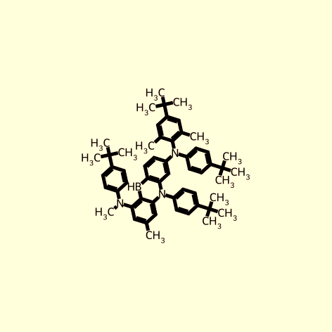 Cc1cc(N(C)c2ccc(C(C)(C)C)cc2)c2c(c1)N(c1ccc(C(C)(C)C)cc1)c1cc(N(c3ccc(C(C)(C)C)cc3)c3c(C)cc(C(C)(C)C)cc3C)ccc1B2